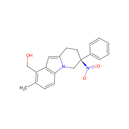 Cc1ccc2c(cc3n2C[C@](c2ccccc2)([N+](=O)[O-])CC3)c1CO